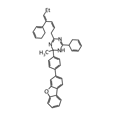 CC/C=C(\C=C/CC1=NC(C)(c2ccc(-c3ccc4c(c3)oc3ccccc34)cc2)NC(C2C=CC=CC2)=N1)C1=CC=CCC1